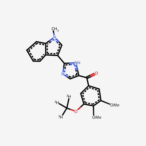 [2H]C([2H])([2H])Oc1cc(C(=O)c2cnc(-c3cn(C)c4ccccc34)[nH]2)cc(OC)c1OC